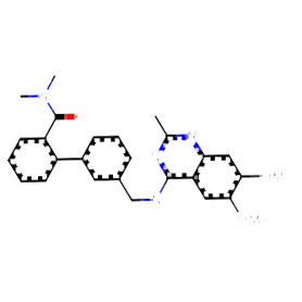 COc1cc2nc(C)nc(N[C@H](C)c3cccc(-c4ccccc4C(=O)N(C)C)c3)c2cc1OC